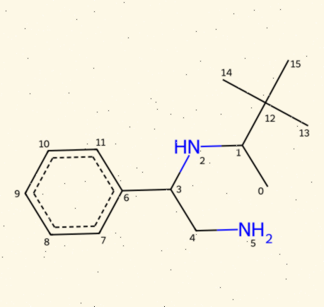 CC(NC(CN)c1ccccc1)C(C)(C)C